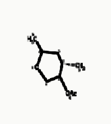 CC(=O)OC1COC(C)C[C@@H]1C